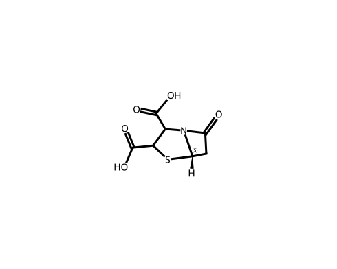 O=C(O)C1S[C@H]2CC(=O)N2C1C(=O)O